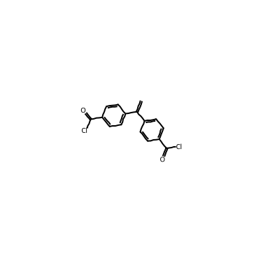 C=C(c1ccc(C(=O)Cl)cc1)c1ccc(C(=O)Cl)cc1